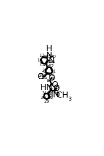 CNC(=O)[C@H](NC(=O)COc1ccc(-c2cccc3[nH]cnc23)cc1C=O)C1CCCC1